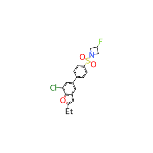 CCc1cc2cc(-c3ccc(S(=O)(=O)N4CC(F)C4)cc3)cc(Cl)c2o1